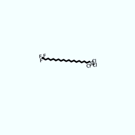 FC(F)(F)CCCCCCCCCCCCCCCCCC[Si](Cl)(Cl)Cl